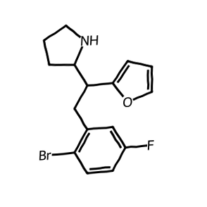 Fc1ccc(Br)c(CC(c2ccco2)C2CCCN2)c1